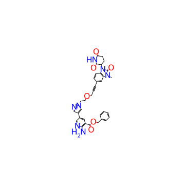 Cn1c(=O)n(C2CCC(=O)NC2=O)c2ccc(C#CCOCCn3cc(-c4cnc(N)c(C(=O)OCc5ccccc5)c4)cn3)cc21